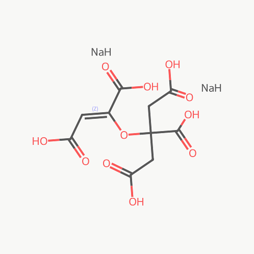 O=C(O)/C=C(\OC(CC(=O)O)(CC(=O)O)C(=O)O)C(=O)O.[NaH].[NaH]